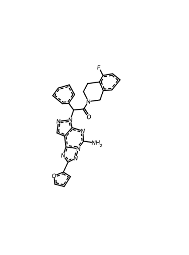 Nc1nc2c(cnn2C(C(=O)N2CCc3c(F)cccc3C2)c2ccccc2)c2nc(-c3ccco3)nn12